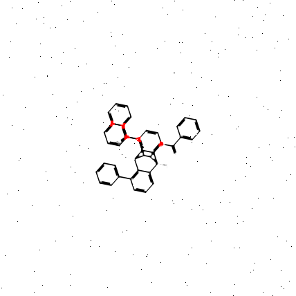 O=C(OC1C(OC(=O)c2ccccc2)[C@H]2c3c(-c4ccccc4)cccc3[C@H]1c1cccc(-c3ccccc3)c12)c1ccccc1